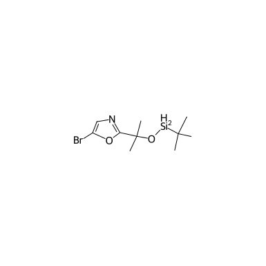 CC(C)(C)[SiH2]OC(C)(C)c1ncc(Br)o1